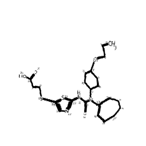 CCCOC1CCC(N(C(=O)Nc2ncc(SCCC(=O)O)s2)C2CCCCCC2)CC1